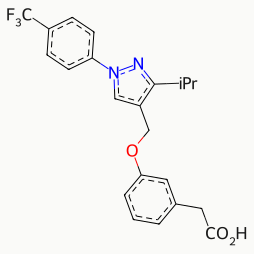 CC(C)c1nn(-c2ccc(C(F)(F)F)cc2)cc1COc1cccc(CC(=O)O)c1